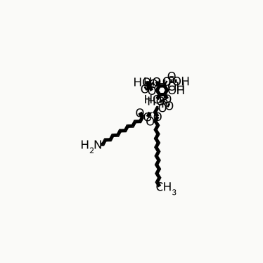 CCCCCCCCCCCCCCCC(=O)O[C@H](COC(=O)CCCCCCCCCCCN)COP(=O)(O)OC1C(O)[C@@H](OP(=O)(O)O)C(O)[C@@H](OP(=O)(O)O)[C@H]1O